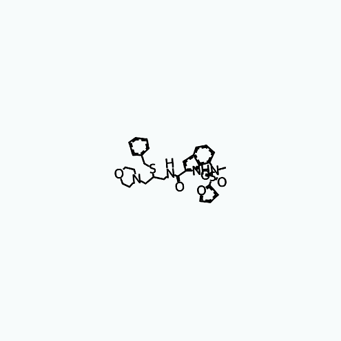 CN(c1cccc2cc(C(=O)NCC(CN3CCOCC3)SCc3ccccc3)[nH]c12)S(=O)(=O)c1ccco1